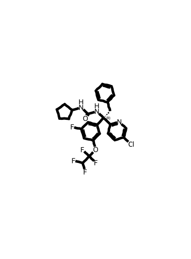 O=C(NC1CCCC1)N[C@](Cc1ccccc1)(c1cc(F)cc(OC(F)(F)C(F)F)c1)c1ccc(Cl)cn1